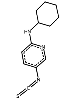 S=C=Nc1ccc(NC2CCCCC2)nc1